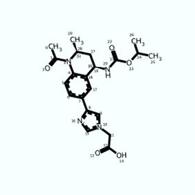 CC(=O)N1c2ccc(-c3cn(CC(=O)O)cn3)cc2[C@H](NC(=O)OC(C)C)C[C@@H]1C